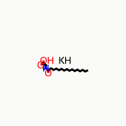 CCCCCCCCCCCCCCCC(=O)N(C)CC(=O)O.[KH]